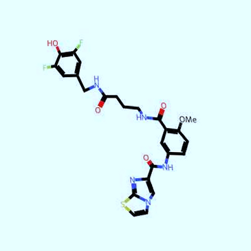 COc1ccc(NC(=O)c2cn3ccsc3n2)cc1C(=O)NCCCC(=O)NCc1cc(F)c(O)c(F)c1